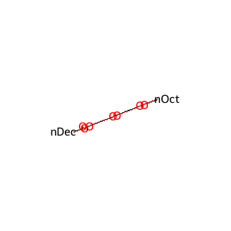 CCCCCCCCC=CCCCCCCCCOCCOCCCCCCCCC=CCCCCCCCCOCCOCCCCCCCCC=CCCCCCCCCOC[CH]COC(=O)CCCCCCCCCCCCCCCCC